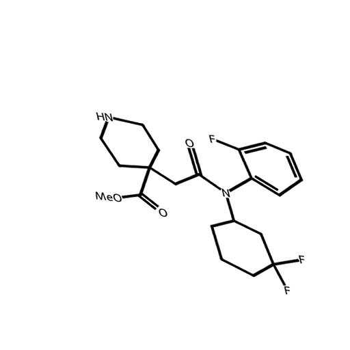 COC(=O)C1(CC(=O)N(c2ccccc2F)C2CCCC(F)(F)C2)CCNCC1